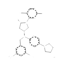 CC[C@@H]1C[C@H](N(Cc2cc(C(F)(F)F)cc(C(F)(F)F)c2)c2ncc(N3CC[C@H](O)C3)cn2)CN1c1nc(Cl)ncc1Cl